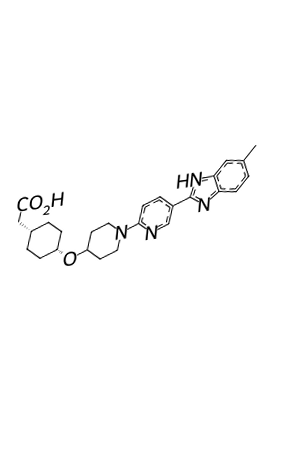 Cc1ccc2nc(-c3ccc(N4CCC(O[C@H]5CC[C@@H](CC(=O)O)CC5)CC4)nc3)[nH]c2c1